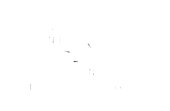 CCN[C@@H](CC(C)[C@@H]1NC(=O)[C@@H](CC(=O)O)C[C@@H]1c1cccc(Cl)c1)c1ccc(Cl)cc1